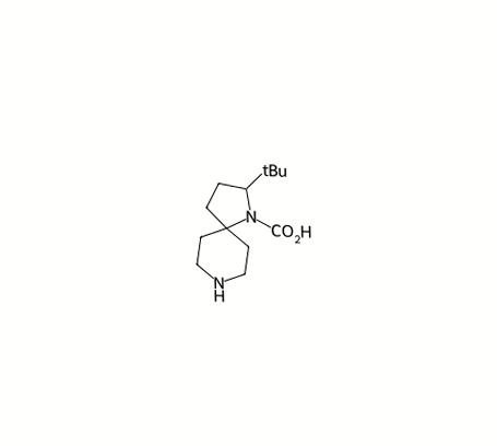 CC(C)(C)C1CCC2(CCNCC2)N1C(=O)O